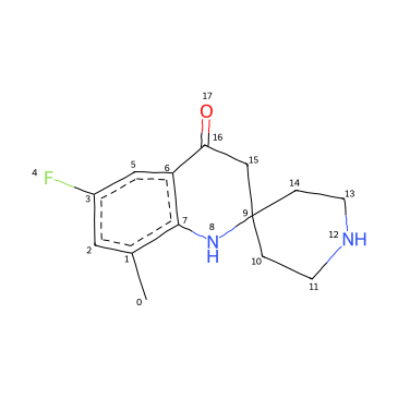 Cc1cc(F)cc2c1NC1(CCNCC1)CC2=O